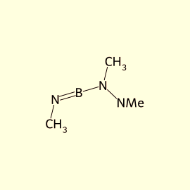 C/N=B/N(C)NC